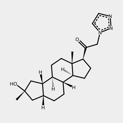 C[C@]1(O)C[C@H]2CC[C@@H]3[C@H](CC[C@]4(C)[C@@H](C(=O)Cn5ccnn5)CC[C@@H]34)[C@H]2C1